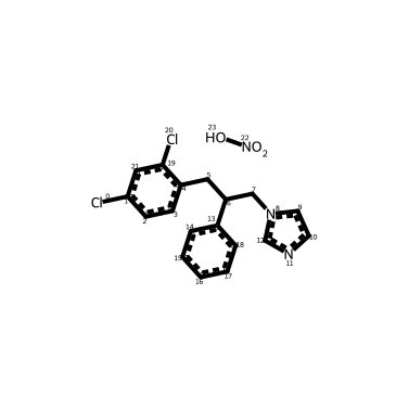 Clc1ccc(CC(Cn2ccnc2)c2ccccc2)c(Cl)c1.O=[N+]([O-])O